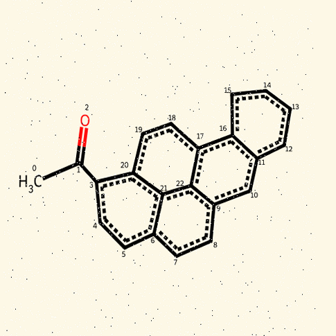 CC(=O)c1ccc2ccc3cc4ccccc4c4ccc1c2c34